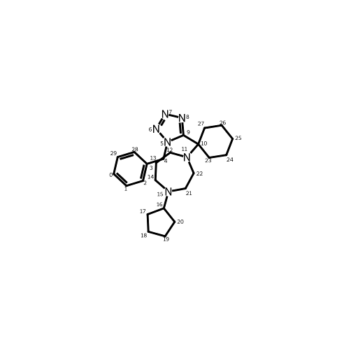 c1ccc(Cn2nnnc2C2(N3CCCN(C4CCCC4)CC3)CCCCC2)cc1